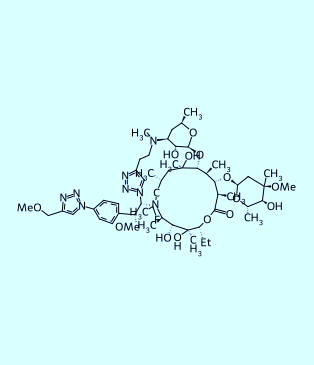 CC[C@H]1OC(=O)[C@H](C)[C@@H](O[C@H]2C[C@@](C)(OC)[C@@H](O)[C@H](C)O2)[C@H](C)[C@@H](O[C@@H]2O[C@H](C)C[C@H](N(C)CCc3cn([C@H](CF)[C@H](OC)c4ccc(-n5cc(COC)nn5)cc4)nn3)[C@H]2O)[C@](C)(O)C[C@@H](C)CN(C)[C@H](C)[C@@H](O)[C@]1(C)O